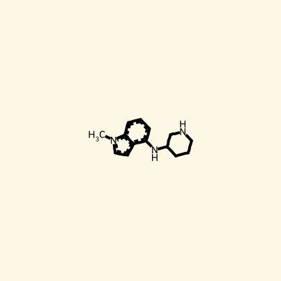 Cn1ccc2c(NC3CCCNC3)cccc21